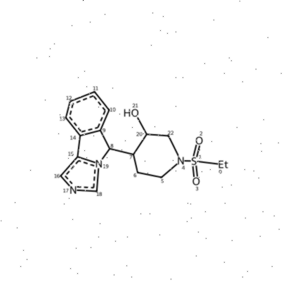 CCS(=O)(=O)N1CCC(C2c3ccccc3-c3cncn32)C(O)C1